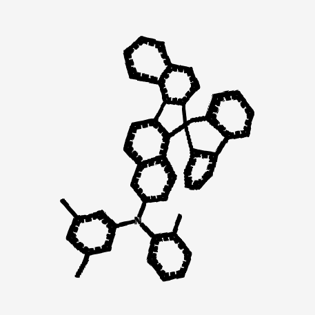 Cc1cc(C)cc(N(c2ccc3c4c(ccc3c2)-c2c(ccc3ccccc23)C42c3ccccc3-c3ccccc32)c2ccccc2C)c1